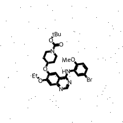 CCOc1cc2ncnc(Nc3cc(Br)ccc3OC)c2cc1OC1CCN(C(=O)OC(C)(C)C)CC1